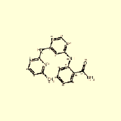 Cc1ccnc(Nc2cc(Nc3ccccc3C(N)=O)ncn2)n1